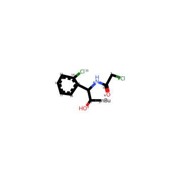 CCCCC(O)C(NC(=O)CCl)c1ccccc1Cl